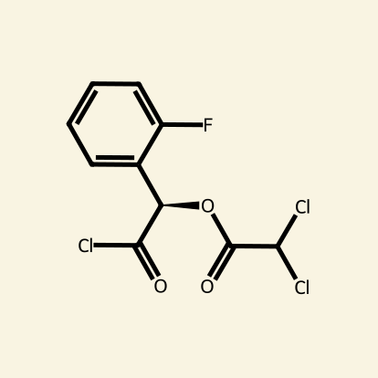 O=C(O[C@@H](C(=O)Cl)c1ccccc1F)C(Cl)Cl